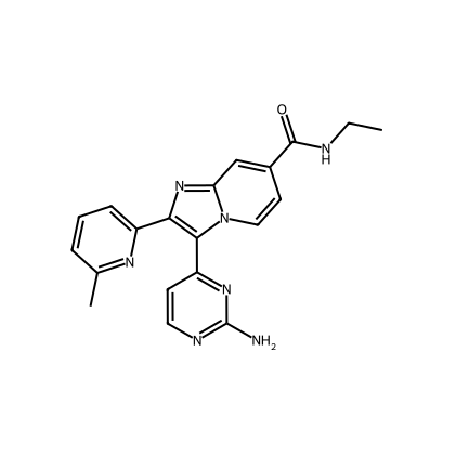 CCNC(=O)c1ccn2c(-c3ccnc(N)n3)c(-c3cccc(C)n3)nc2c1